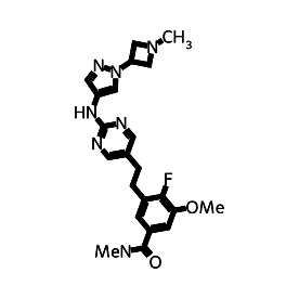 CNC(=O)c1cc(CCc2cnc(Nc3cnn(C4CN(C)C4)c3)nc2)c(F)c(OC)c1